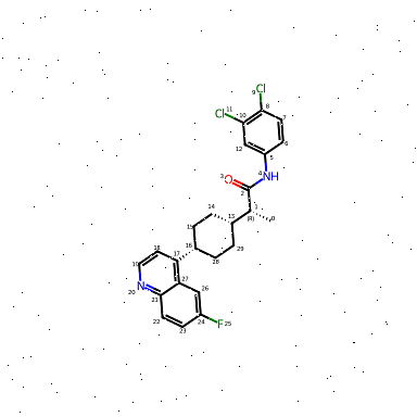 C[C@@H](C(=O)Nc1ccc(Cl)c(Cl)c1)[C@H]1CC[C@@H](c2ccnc3ccc(F)cc32)CC1